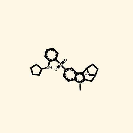 Cn1c2c(c3cc(S(=O)(=O)c4ccccc4NC4CCCC4)ccc31)C1CCC(C2)N1